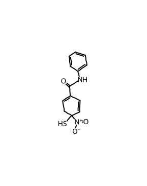 O=C(Nc1ccccc1)C1=CCC(S)([N+](=O)[O-])C=C1